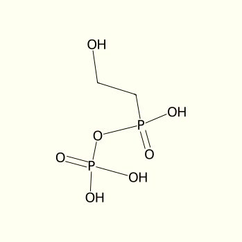 O=P(O)(O)OP(=O)(O)CCO